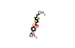 CCCc1cc2sc(C(=O)OC3CCC(OCC)CC3)cc2s1